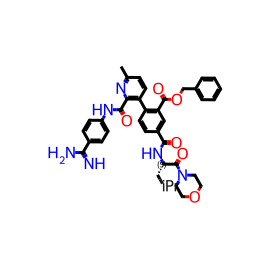 Cc1ccc(-c2ccc(C(=O)N[C@@H](CC(C)C)C(=O)N3CCOCC3)cc2C(=O)OCc2ccccc2)c(C(=O)Nc2ccc(C(=N)N)cc2)n1